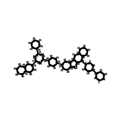 c1ccc(-c2ccc(-c3c4ccccc4cc4c3oc3ccc(-c5ccc(-c6nc(-c7ccccc7)nc(-c7ccc8ccccc8c7)n6)cc5)cc34)cc2)cc1